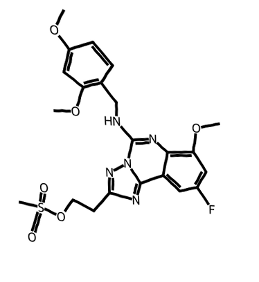 COc1ccc(CNc2nc3c(OC)cc(F)cc3c3nc(CCOS(C)(=O)=O)nn23)c(OC)c1